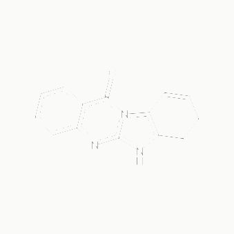 O=c1c2ccccc2nc2[nH]c3c(n12)C=CCC3